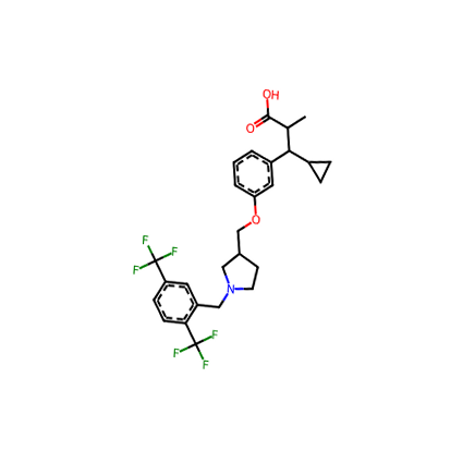 CC(C(=O)O)C(c1cccc(OCC2CCN(Cc3cc(C(F)(F)F)ccc3C(F)(F)F)C2)c1)C1CC1